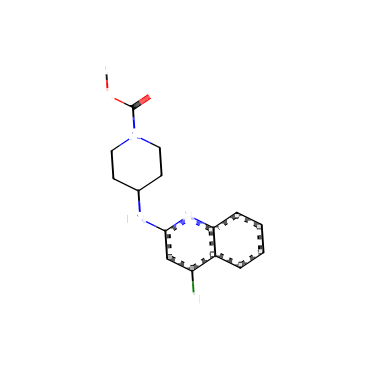 CC(C)(C)OC(=O)N1CCC(Nc2cc(Cl)c3ccccc3n2)CC1